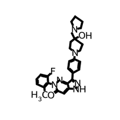 Cc1cccc(F)c1-n1nc2c(-c3ccc(N4CCC(O)(CN5CCCC5)CC4)cc3)n[nH]c2cc1=O